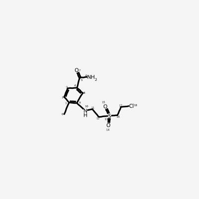 Cc1ccc(C(N)=O)cc1NCCS(=O)(=O)CCCl